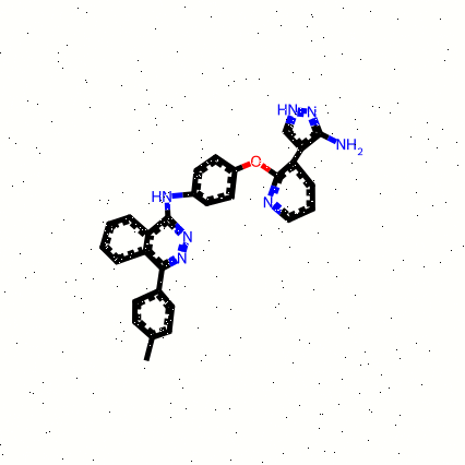 Cc1ccc(-c2nnc(Nc3ccc(Oc4ncccc4-c4c[nH]nc4N)cc3)c3ccccc23)cc1